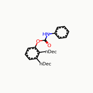 CCCCCCCCCCc1cccc(OC(=O)Nc2ccccc2)c1CCCCCCCCCC